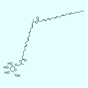 CCCCCC=CCC=CCC=CCC=CC=CCC(=O)OC(C)C=CCC=CCC=CCC=CCCCCC(=O)OC(C)CO[C@@H]1O[C@H](CO)[C@H](O)[C@H](O)[C@H]1O